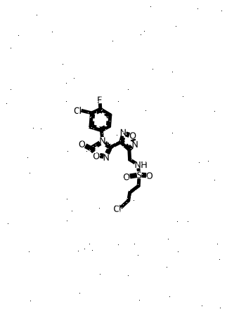 O=c1onc(-c2nonc2CNS(=O)(=O)CCCCl)n1-c1ccc(F)c(Cl)c1